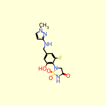 Cn1ccc(NCc2cc(O)c(N3CC(=O)NS3(=O)=O)c(F)c2)n1